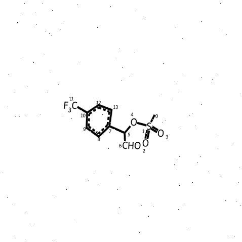 CS(=O)(=O)OC(C=O)c1ccc(C(F)(F)F)cc1